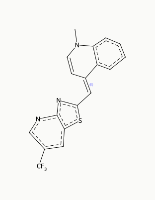 CN1C=C/C(=C\c2nc3ncc(C(F)(F)F)cc3s2)c2ccccc21